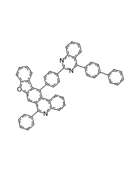 c1ccc(-c2ccc(-c3nc(-c4ccc(-c5c6c(cc7c(-c8ccccc8)nc8ccccc8c57)oc5ccccc56)cc4)nc4ccccc34)cc2)cc1